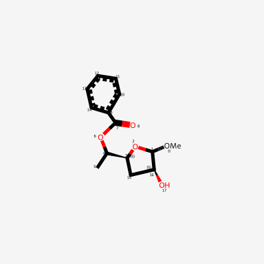 COC1O[C@H](C(C)OC(=O)c2ccccc2)C[C@@H]1O